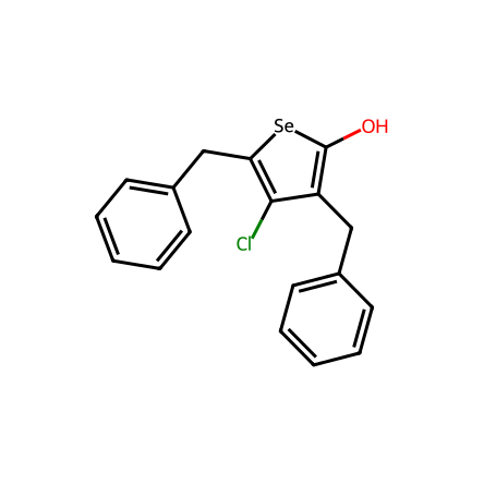 Oc1[se]c(Cc2ccccc2)c(Cl)c1Cc1ccccc1